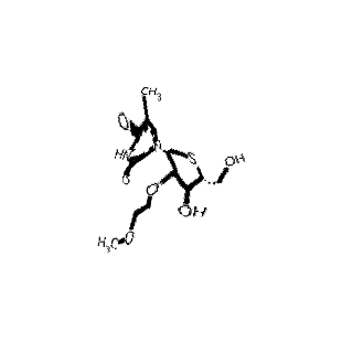 COCCOC1C(O)[C@@H](CO)S[C@H]1n1cc(C)c(=O)[nH]c1=O